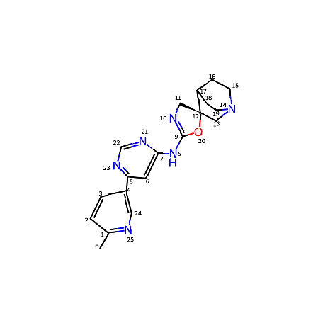 Cc1ccc(-c2cc(NC3=NC[C@@]4(CN5CCC4CC5)O3)ncn2)cn1